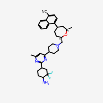 Cc1cc(C2CCN(C[C@H]3CCC(c4ccc(C#N)c5ccccc45)C[C@@H](C)O3)CC2)nc(C2CCC(N)C(F)(F)C2)n1